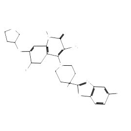 Cc1ccc2oc(C3(F)CCN(c4c5c(n(C)c(=O)c4C#N)C=C(OC4CCOC4)C(Br)C5)CC3)nc2c1